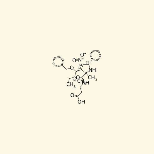 CC[C@H](C)C(OCc1ccccc1)[C@H]1[C@H]([N+](=O)[O-])[C@H](c2ccccc2)N[C@@]1(C)C(=O)NCCC(=O)O